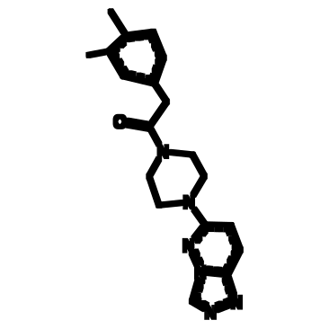 Cc1ccc(CC(=O)N2CCN(c3ccc4nncn4n3)CC2)cc1C